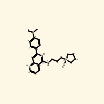 CN(C)c1ccc(-c2cc3ncccc3c(NCCC[N+]3([O-])CCCC3)n2)cc1